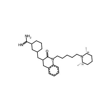 C[C@@H]1CCC[C@H](C)N1CCCCCN1C(=O)C(CC2CCCC(C(=N)N)C2)Cc2ccccc21